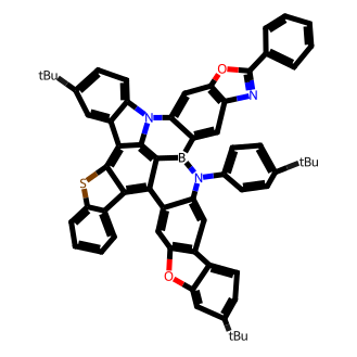 CC(C)(C)c1ccc(N2B3c4cc5nc(-c6ccccc6)oc5cc4-n4c5ccc(C(C)(C)C)cc5c5c6sc7ccccc7c6c(c3c54)-c3cc4oc5cc(C(C)(C)C)ccc5c4cc32)cc1